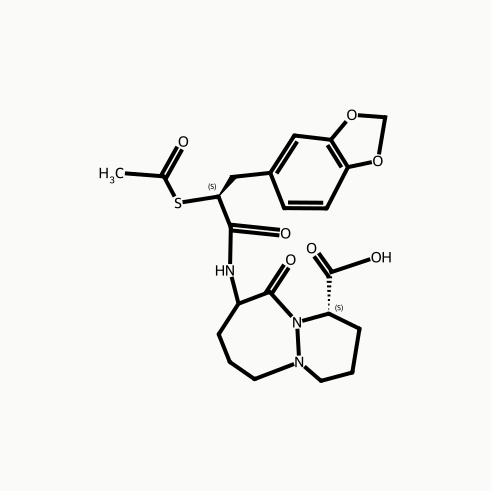 CC(=O)S[C@@H](Cc1ccc2c(c1)OCO2)C(=O)NC1CCCN2CCC[C@@H](C(=O)O)N2C1=O